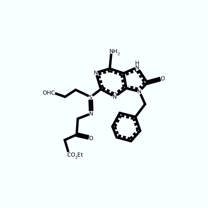 CCOC(=O)CC(=O)CN=S(CCC=O)c1nc(N)c2[nH]c(=O)n(Cc3ccccc3)c2n1